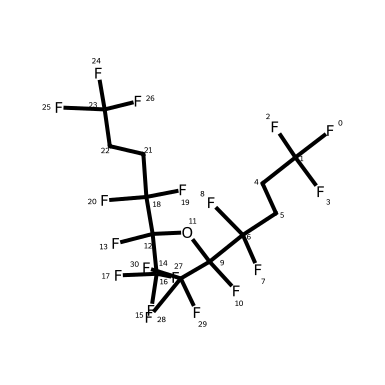 FC(F)(F)CCC(F)(F)C(F)(OC(F)(C(F)(F)F)C(F)(F)CCC(F)(F)F)C(F)(F)F